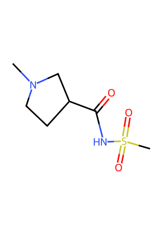 CN1CCC(C(=O)NS(C)(=O)=O)C1